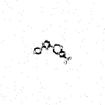 O=[N+]([O-])c1cn2c(n1)OCCN(c1ccnc(N3CCOCC3)n1)CC2